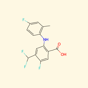 Cc1cc(F)ccc1Nc1cc(C(F)F)c(F)cc1C(=O)O